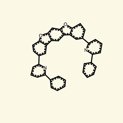 c1ccc(-c2cccc(-c3ccc4oc5cc6oc7ccc(-c8cccc(-c9ccccc9)n8)cc7c6cc5c4c3)n2)cc1